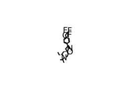 CC[C@@H]1C[C@@]2(CCN1C(C)C)CC(c1ccc(OC(F)(F)F)cc1)=NO2